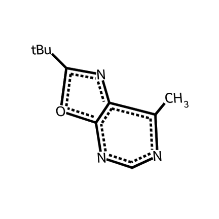 Cc1ncnc2oc(C(C)(C)C)nc12